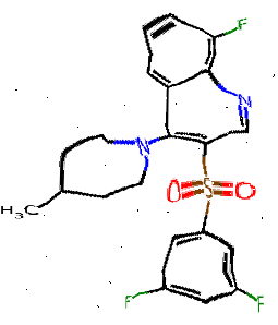 CC1CCN(c2c(S(=O)(=O)c3cc(F)cc(F)c3)cnc3c(F)cccc23)CC1